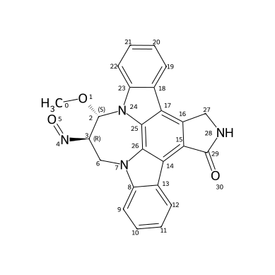 CO[C@H]1[C@H](N=O)Cn2c3ccccc3c3c4c(c5c6ccccc6n1c5c32)CNC4=O